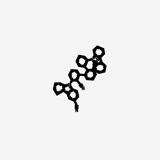 N#Cc1ccc2c(c1)c1ccccc1n2-c1cccc(-c2cccc(C#N)c2-c2ccccc2-n2c3ccccc3c3ccccc32)c1C#N